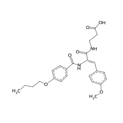 CCCCOc1ccc(C(=O)N/C(=C\c2ccc(OC)cc2)C(=O)NCCC(=O)O)cc1